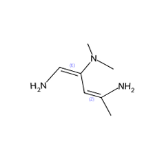 C/C(N)=C/C(=C\N)N(C)C